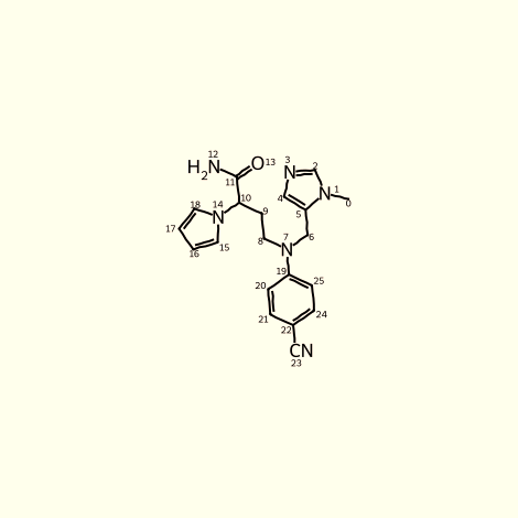 Cn1cncc1CN(CCC(C(N)=O)n1cccc1)c1ccc(C#N)cc1